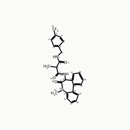 CC(C(=O)NCc1ccc(C(F)(F)F)cc1)C(=O)NC1C(=O)N(C)c2ccccc2-c2ccccc21